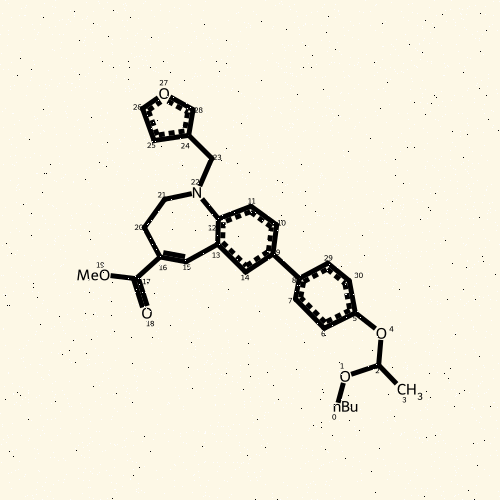 CCCCOC(C)Oc1ccc(-c2ccc3c(c2)C=C(C(=O)OC)CCN3Cc2ccoc2)cc1